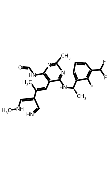 CN/C=C(C=N)/C(C)=C/c1c(NC=O)nc(C)nc1N[C@H](C)c1cccc(C(F)F)c1F